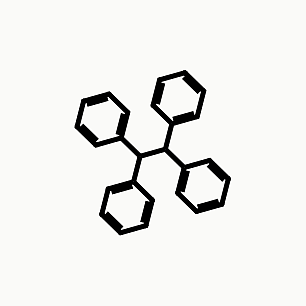 c1ccc(C(c2ccccc2)C(c2ccccc2)c2ccccc2)cc1